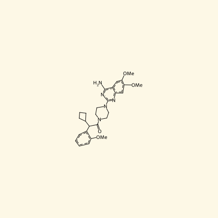 COc1cc2nc(N3CCN(C(=O)C(c4ccccc4OC)C4CCC4)CC3)nc(N)c2cc1OC